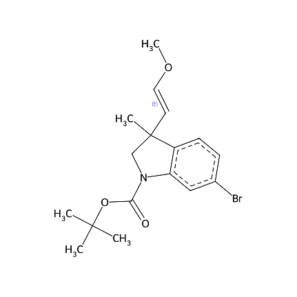 CO/C=C/C1(C)CN(C(=O)OC(C)(C)C)c2cc(Br)ccc21